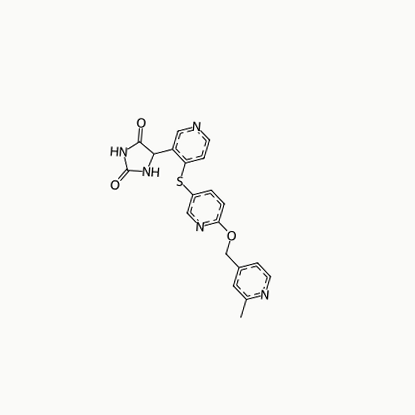 Cc1cc(COc2ccc(Sc3ccncc3C3NC(=O)NC3=O)cn2)ccn1